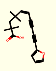 CC(C)(/C=C\C#CC#Cc1ccco1)CC(C)(C)C(=O)O